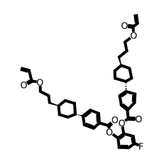 C=CC(=O)OCCC[C@H]1CC[C@H](c2ccc(C(=O)Oc3ccc(F)cc3OC(=O)c3ccc([C@H]4CC[C@H](CCCOC(=O)C=C)CC4)cc3)cc2)CC1